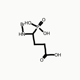 O=C(O)CCC(NBr)P(=O)(O)O